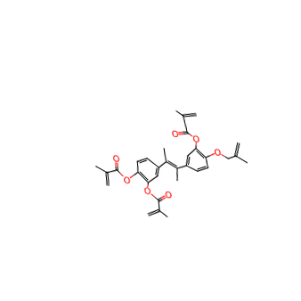 C=C(C)COc1ccc(/C(C)=C(\C)c2ccc(OC(=O)C(=C)C)c(OC(=O)C(=C)C)c2)cc1OC(=O)C(=C)C